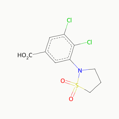 O=C(O)c1cc(Cl)c(Cl)c(N2CCCS2(=O)=O)c1